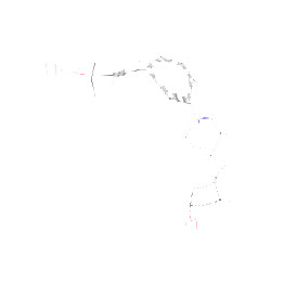 CC(C)(O)C#Cc1cccc(N2CCC(OC3CC(O)C3)CC2)c1